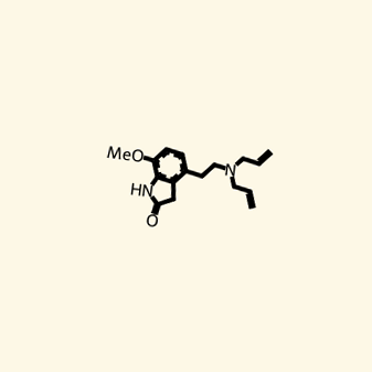 C=CCN(CC=C)CCc1ccc(OC)c2c1CC(=O)N2